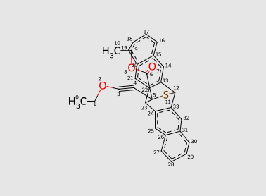 CCOC#CC1(C(=O)OCC)SC2c3cc4ccccc4cc3C1c1cc3ccccc3cc12